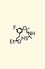 CCC(=O)CCc1cc(F)cc(O[C@@H](C)CNC(C)S)c1